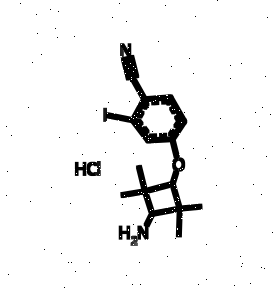 CC1(C)C(N)C(C)(C)C1Oc1ccc(C#N)c(I)c1.Cl